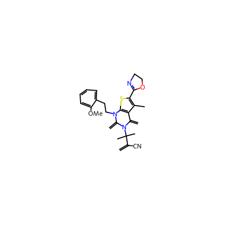 C=C1c2c(sc(C3=NCCO3)c2C)N(CCc2ccccc2OC)C(=C)N1C(C)(C)C(=C)C#N